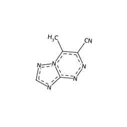 Cc1c(C#N)nnc2ncnn12